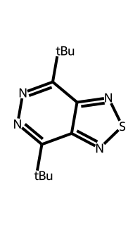 CC(C)(C)c1nnc(C(C)(C)C)c2nsnc12